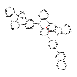 CC1(C)c2ccccc2-c2cccc(-c3ccc(N(c4ccc(-c5ccc(-c6ccc7ccccc7c6)cc5)cc4)c4ccccc4-c4ccc5oc6ccccc6c5c4)cc3)c21